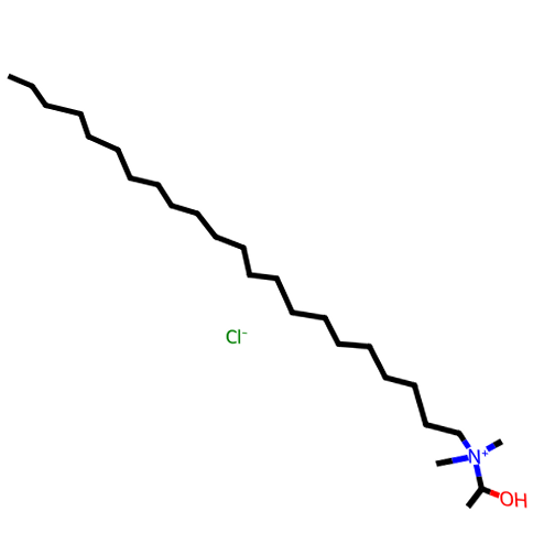 CCCCCCCCCCCCCCCCCCCCCC[N+](C)(C)C(C)O.[Cl-]